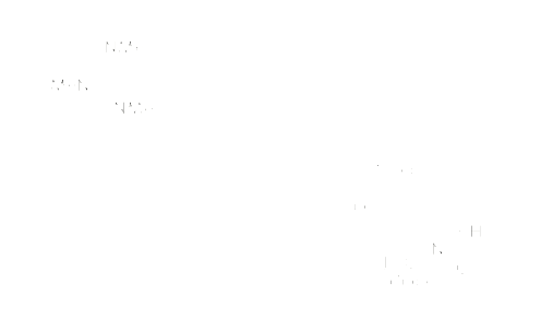 CNC(CCCCCCCCCC(=O)OC(CC(=O)[O-])C[N+](C)(C)C)(NC)NC